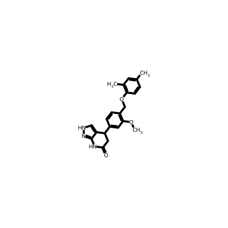 COc1cc(C2CC(=O)Nc3n[nH]cc32)ccc1COc1ccc(C)cc1C